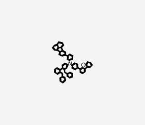 c1ccc(Cc2ccccc2-c2ccc(N(c3ccc(-c4cccc5c4oc4ccccc45)cc3)c3cccc(-c4ccc5c(c4)-c4cccc6cccc-5c46)c3)cc2Cc2ccccc2)cc1